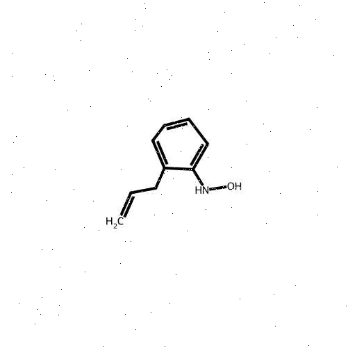 C=CCc1ccccc1NO